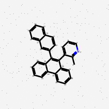 Cc1ncccc1-c1c(-c2ccc3ccccc3c2)c2ccccc2c2ccccc12